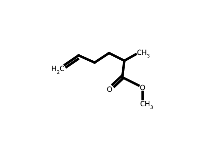 C=CCCC(C)C(=O)OC